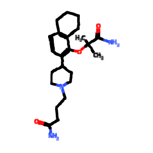 CC(C)(Oc1c(C2CCN(CCCC(N)=O)CC2)ccc2c1CCCC2)C(N)=O